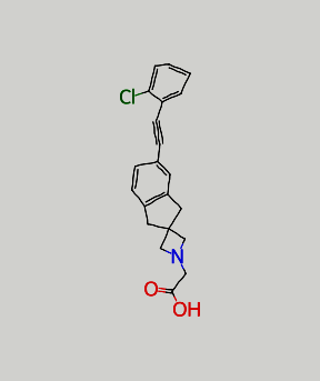 O=C(O)CN1CC2(Cc3ccc(C#Cc4ccccc4Cl)cc3C2)C1